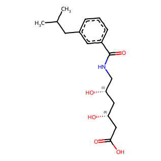 CC(C)Cc1cccc(C(=O)NC[C@@H](O)C[C@@H](O)CC(=O)O)c1